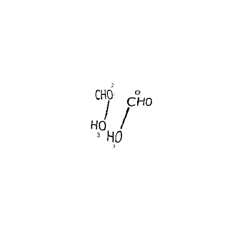 O=[C]O.O=[C]O